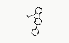 CN1C2=CC(c3ccccc3)=CCC2c2ccccc21